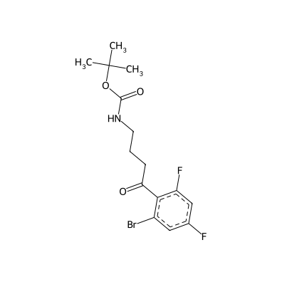 CC(C)(C)OC(=O)NCCCC(=O)c1c(F)cc(F)cc1Br